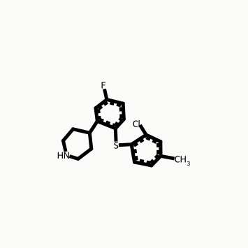 Cc1ccc(Sc2ccc(F)cc2C2CCNCC2)c(Cl)c1